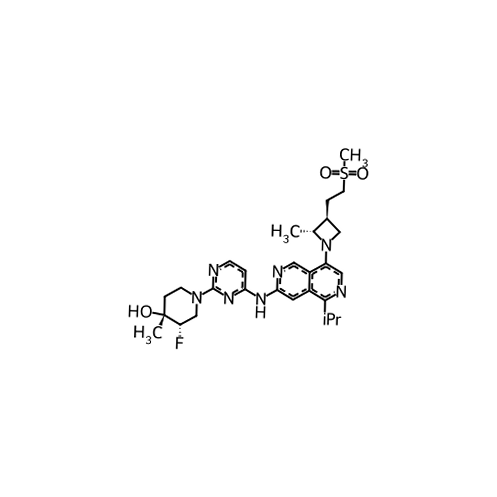 CC(C)c1ncc(N2C[C@H](CCS(C)(=O)=O)[C@H]2C)c2cnc(Nc3ccnc(N4CC[C@@](C)(O)[C@@H](F)C4)n3)cc12